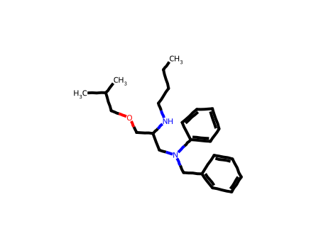 CCCCNC(COCC(C)C)CN(Cc1ccccc1)c1ccccc1